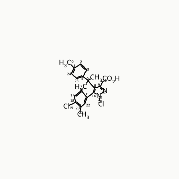 Cc1ccc(C(C)(C)c2c(C(=O)O)nn(Cl)c2-c2ccc(Cl)c(C)c2)cc1